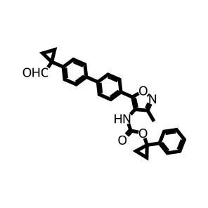 Cc1noc(-c2ccc(-c3ccc(C4(C=O)CC4)cc3)cc2)c1NC(=O)OC1(c2ccccc2)CC1